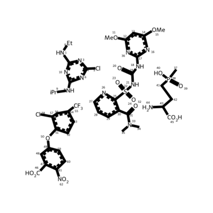 CCNc1nc(Cl)nc(NC(C)C)n1.COc1cc(OC)nc(NC(=O)NS(=O)(=O)c2ncccc2C(=O)N(C)C)n1.CP(=O)(O)CCC(N)C(=O)O.O=C(O)c1cc(Oc2ccc(C(F)(F)F)cc2Cl)ccc1[N+](=O)[O-]